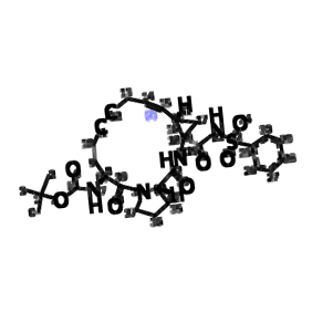 CC(C)(C)OC(=O)N[C@H]1CCCCC/C=C\[C@@H]2C[C@@]2(C(=O)NS(=O)(=O)c2ccccc2)NC(=O)[C@@H]2CCCN2C1=O